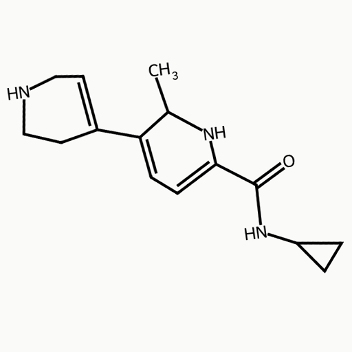 CC1NC(C(=O)NC2CC2)=CC=C1C1=CCNCC1